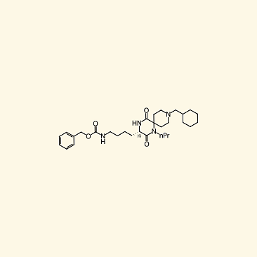 CCCN1C(=O)[C@H](CCCCNC(=O)OCc2ccccc2)NC(=O)C12CCN(CC1CCCCC1)CC2